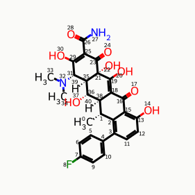 C[C@H]1c2c(-c3ccc(F)cc3)ccc(O)c2C(=O)C2=C(O)[C@]3(O)C(=O)C(C(N)=O)=C(O)[C@@H](N(C)C)[C@@H]3[C@@H](O)[C@@H]21